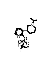 CC(C)N1CCC[C@@H](c2cccnc2OS(=O)(=O)C(F)(F)F)C1